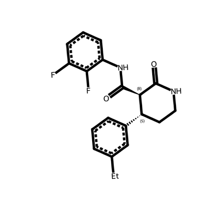 CCc1cccc([C@H]2CCNC(=O)[C@@H]2C(=O)Nc2cccc(F)c2F)c1